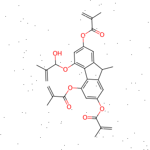 C=C(C)C(=O)Oc1cc(OC(=O)C(=C)C)c2c(c1)C(C)c1cc(OC(=O)C(=C)C)cc(OC(O)C(=C)C)c1-2